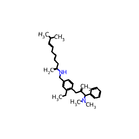 C=C(CCCC/C=C/C(C)C)NCc1ccc(CC(=C)C(c2ccccc2)N(C)C)c(CC)c1